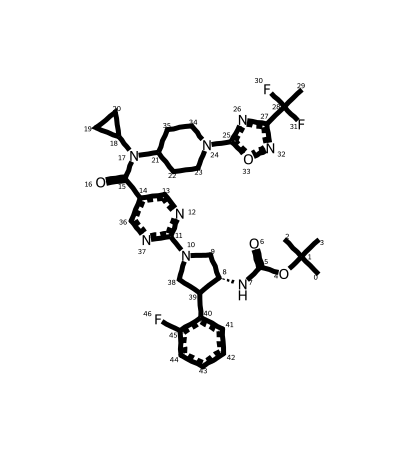 CC(C)(C)OC(=O)N[C@H]1CN(c2ncc(C(=O)N(C3CC3)C3CCN(c4nc(C(C)(F)F)no4)CC3)cn2)CC1c1ccccc1F